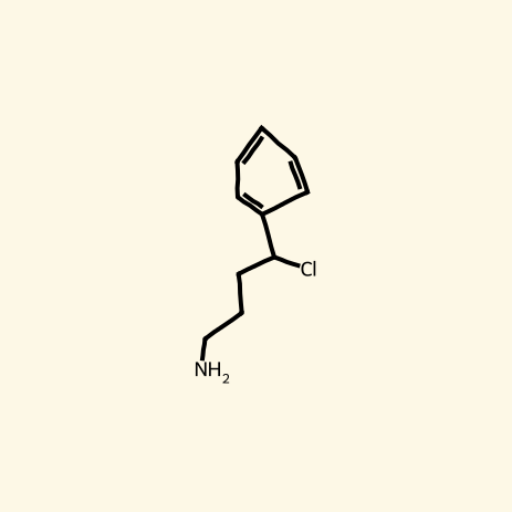 NCCCC(Cl)c1ccccc1